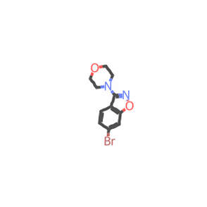 Brc1ccc2c(N3CCOCC3)noc2c1